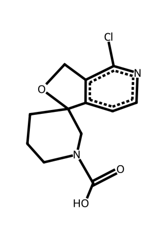 O=C(O)N1CCCC2(C1)OCc1c2ccnc1Cl